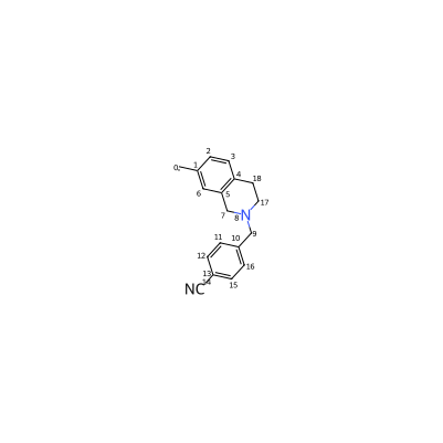 [CH2]c1ccc2c(c1)CN(Cc1ccc(C#N)cc1)CC2